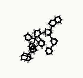 c1ccc(-c2cccc(-c3cc(-c4ccc5ccccc5c4)nc(-c4cccc5c4-c4cccc(-c6ccc(C78CC9CC(CC(C9)C7)C8)cc6)c4C5(c4ccccc4)c4ccccc4)n3)c2)cc1